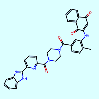 Cc1ccc(C(=O)N2CCN(C(=O)c3cccc(-c4nc5ccccc5[nH]4)n3)CC2)cc1NC1=CC(=O)c2ccccc2C1=O